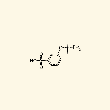 CC(C)(P)Oc1cccc(S(=O)(=O)O)c1